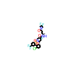 C[C@H](/C=C/C(=O)N1CC(F)(F)C1)NC(=O)[C@]1(F)CCN(S(=O)(=O)c2ccc(C(F)F)cc2-c2ccccc2Cl)[C@H](C)C1